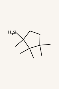 CC1(C)CCC(C)([SiH3])C1(C)C